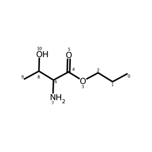 CCCOC(=O)C(N)C(C)O